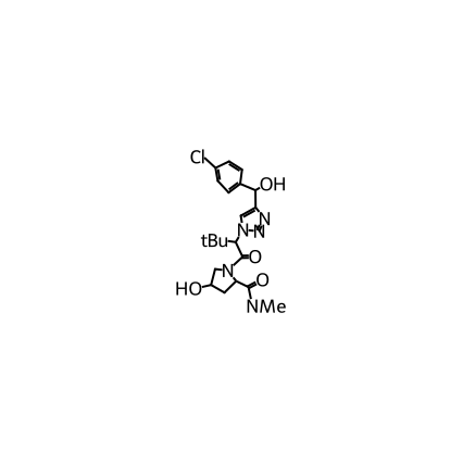 CNC(=O)C1CC(O)CN1C(=O)C(n1cc(C(O)c2ccc(Cl)cc2)nn1)C(C)(C)C